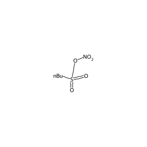 CCCCS(=O)(=O)O[N+](=O)[O-]